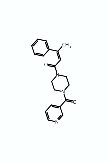 CC(=CC(=O)N1CCN(C(=O)c2cccnc2)CC1)c1ccccc1